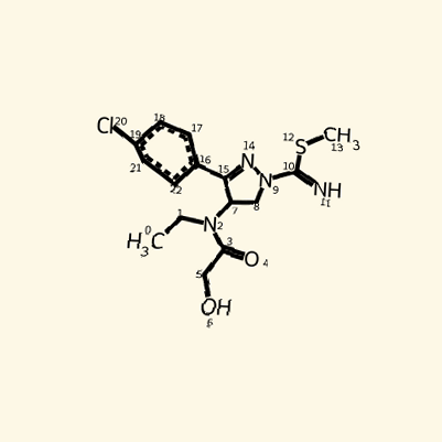 CCN(C(=O)CO)C1CN(C(=N)SC)N=C1c1ccc(Cl)cc1